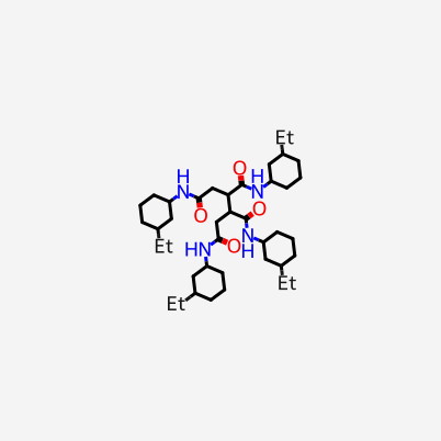 CCC1CCCC(NC(=O)CC(C(=O)NC2CCCC(CC)C2)C(CC(=O)NC2CCCC(CC)C2)C(=O)NC2CCCC(CC)C2)C1